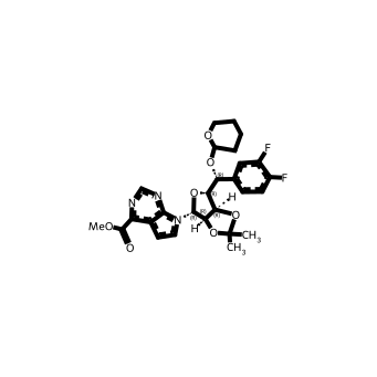 COC(=O)c1ncnc2c1ccn2[C@@H]1O[C@H]([C@H](OC2CCCCO2)c2ccc(F)c(F)c2)[C@H]2OC(C)(C)O[C@H]21